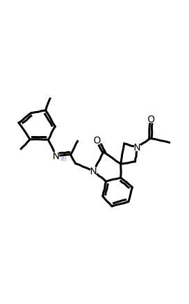 CC(=O)N1CC2(C1)C(=O)N(C/C(C)=N/c1cc(C)ccc1C)c1ccccc12